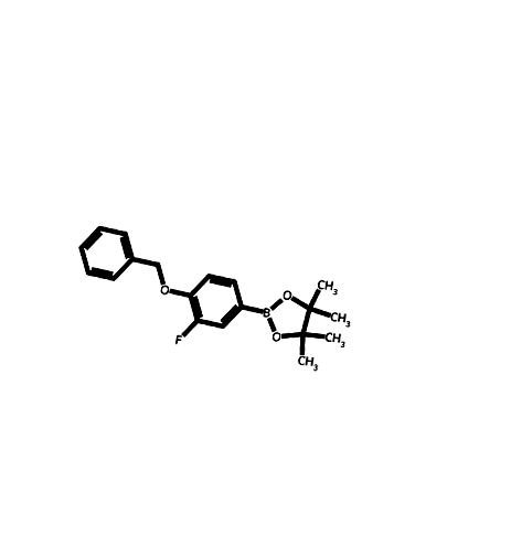 CC1(C)OB(c2ccc(OCc3ccccc3)c(F)c2)OC1(C)C